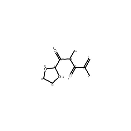 C=C(C)C(=O)C(C)C(=O)C1OCCO1